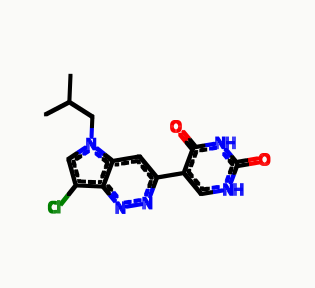 CC(C)Cn1cc(Cl)c2nnc(-c3c[nH]c(=O)[nH]c3=O)cc21